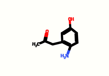 CC(=O)Cc1cc(O)ccc1N